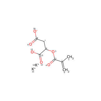 C=C(C)C(=O)OC(CC(=O)[O-])C(=O)[O-].[K+].[K+]